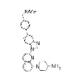 CNCc1ccc(-c2ccc3c(c2)ncn3-c2ccc3cccc(N4CCC(N)CC4)c3n2)cc1